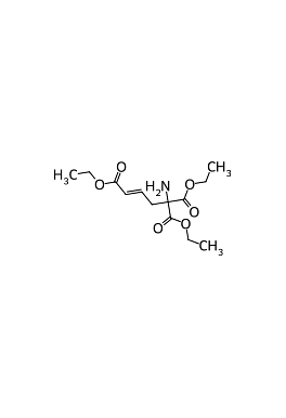 CCOC(=O)C=CCC(N)(C(=O)OCC)C(=O)OCC